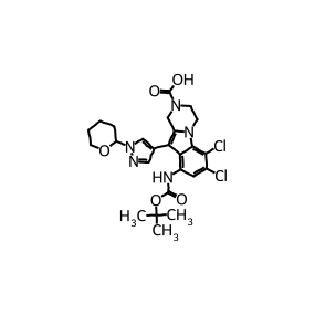 CC(C)(C)OC(=O)Nc1cc(Cl)c(Cl)c2c1c(-c1cnn(C3CCCCO3)c1)c1n2CCN(C(=O)O)C1